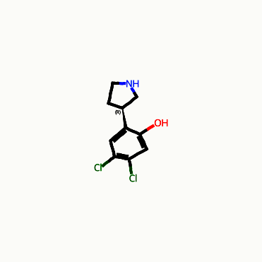 Oc1cc(Cl)c(Cl)cc1[C@H]1CCNC1